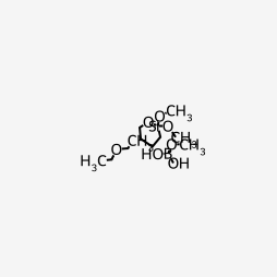 CCOCC.COB(O)O.CO[Si]1(OC)CCCCO1